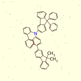 CC1(C)c2ccccc2-c2ccc(-c3ccc(N(c4ccc5c(c4)-c4ccccc4C5(c4ccccc4)c4ccccc4)c4ccccc4-c4ccccc4)cc3)cc21